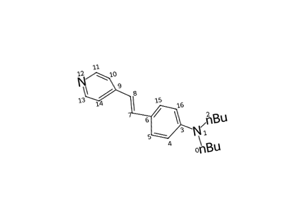 CCCCN(CCCC)c1ccc(C=Cc2ccncc2)cc1